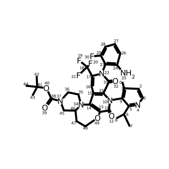 Cc1ccnc(C(C)C)c1-n1c(=O)c2c(c3cc(C(F)(F)F)n(-c4c(N)cccc4F)c(=O)c31)N1CCN(C(=O)OC(C)(C)C)CC1CCO2